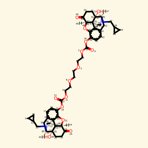 O=C(OCCOCCOCCOC(=O)Oc1ccc2c3c1O[C@H]1C(=O)CC[C@@]4(O)[C@@H](C2)N(CC2CC2)CC[C@]314)Oc1ccc2c3c1O[C@H]1C(=O)CC[C@@]4(O)[C@@H](C2)N(CC2CC2)CC[C@]314